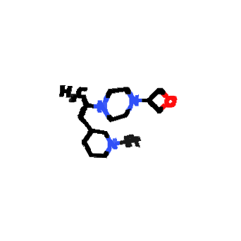 CC(C)N1CCCC(CC(C)N2CCN(C3COC3)CC2)C1